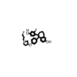 Oc1ccc(C2=C(c3ccc(O[C@H]4CCN(CCCF)C4)cc3)c3ccc(O)cc3CCC2)c(F)c1